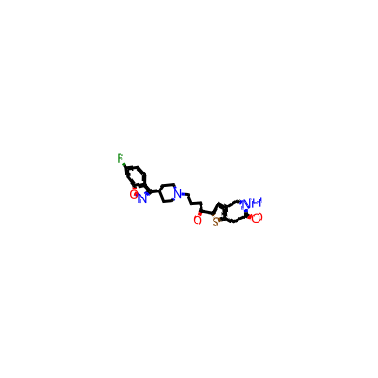 O=C1Cc2sc(C(=O)CCCN3CCC(c4noc5cc(F)ccc45)CC3)cc2CN1